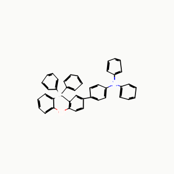 c1ccc(N(c2ccccc2)c2ccc(-c3ccc4c(c3)[Si](c3ccccc3)(c3ccccc3)c3ccccc3O4)cc2)cc1